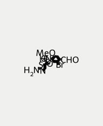 COc1cc(C=O)c(Br)cc1NS(=O)(=O)c1cnc(N)s1